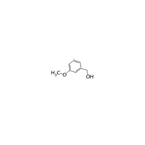 COc1c[c]cc(CO)c1